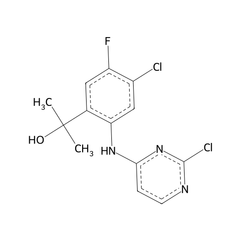 CC(C)(O)c1cc(F)c(Cl)cc1Nc1ccnc(Cl)n1